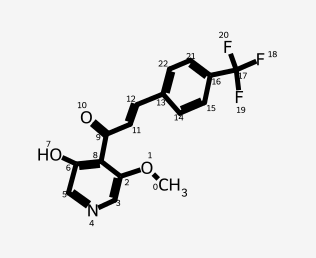 COc1cncc(O)c1C(=O)C=Cc1ccc(C(F)(F)F)cc1